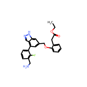 CCOC(=O)Cc1ccccc1OCc1cc(-c2cccc(CN)c2F)c2cn[nH]c2c1